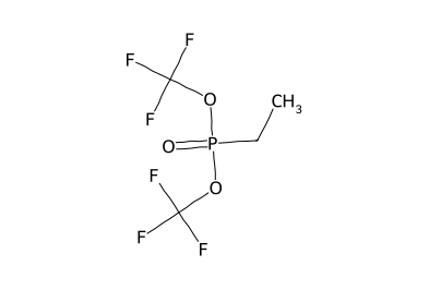 CCP(=O)(OC(F)(F)F)OC(F)(F)F